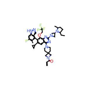 C=CC(=O)N1CC2(CCN(c3nc(N4CC(N5C(C)CCC5CC)C4)nc4c(OCC(F)(F)F)c(-c5c(C)c(F)cc6[nH]ncc56)c(C5CC5)cc34)CC2)C1